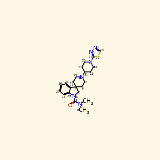 CN(C)C(=O)N1CC2(CCN(C3CCN(c4nncs4)CC3)CC2)c2ccccc21